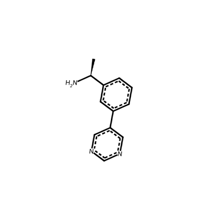 C[C@H](N)c1cccc(-c2cncnc2)c1